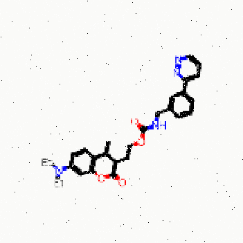 CCN(CC)c1ccc2c(c1)OC(=O)C(CCOC(=O)NCc1cccc(-c3cccnn3)c1)C2C